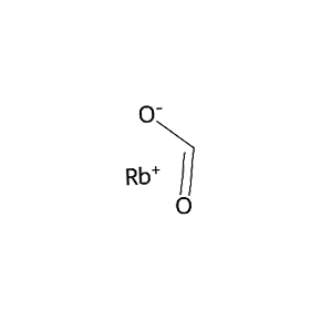 O=C[O-].[Rb+]